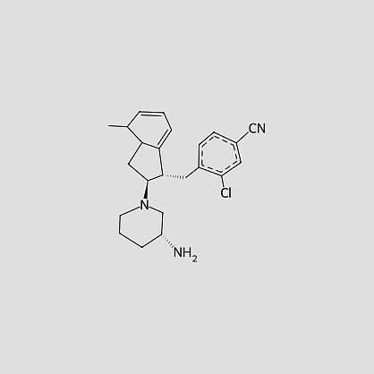 CC1C=CC=C2C1C[C@H](N1CCC[C@@H](N)C1)[C@H]2Cc1ccc(C#N)cc1Cl